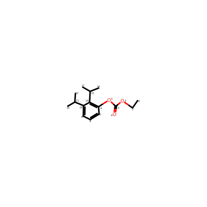 CCOC(=O)Oc1[c]ccc(C(C)C)c1C(C)C